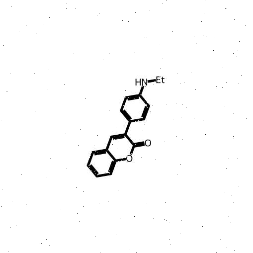 CCNc1ccc(-c2cc3ccccc3oc2=O)cc1